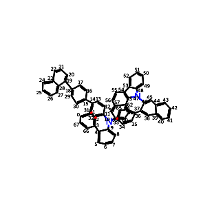 c1ccc(-c2ccccc2N(c2ccc(-c3ccc(-c4cccc5ccccc45)cc3)cc2)c2ccc(-c3cc4ccccc4cc3-n3c4ccccc4c4ccc5ccccc5c43)cc2)cc1